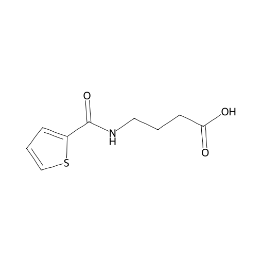 O=C(O)CCCNC(=O)c1cccs1